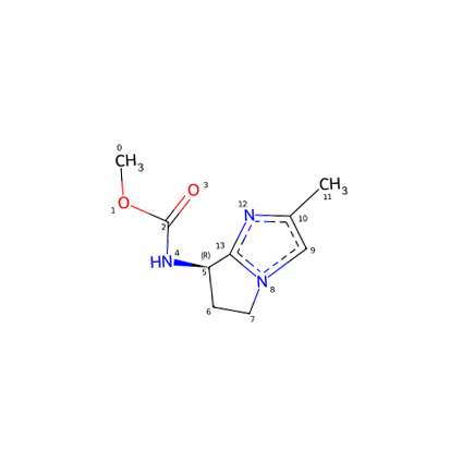 COC(=O)N[C@@H]1CCn2cc(C)nc21